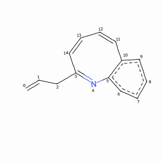 C=CCC1=Nc2ccccc2C=CC=C1